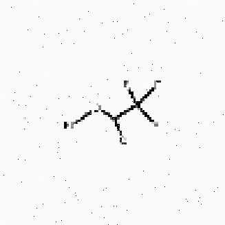 CCOC([O])C(F)(F)F